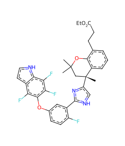 CCOC(=O)CCc1cccc2c1OC(C)(C)C[C@@]2(C)c1c[nH]c(-c2cc(Oc3c(F)c(F)c4[nH]ccc4c3F)ccc2F)n1